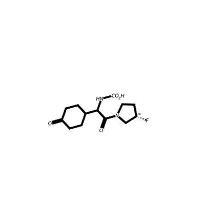 O=C1CCC(C(NC(=O)O)C(=O)N2CC[C@H](F)C2)CC1